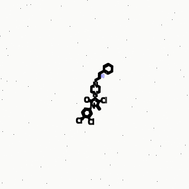 C=C1C(Cl)=C(N2CCN(C/C=C/C3=CCCC=C3)CC2)C(=O)N1c1ccc(Cl)c(Cl)c1